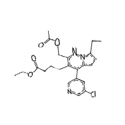 CCOC(=O)CCCc1c(COC(C)=O)nn2c(CC)ccc2c1-c1cncc(Cl)c1